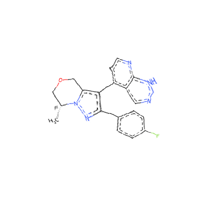 C[C@@H]1COCc2c(-c3ccnc4[nH]ncc34)c(-c3ccc(F)cc3)nn21